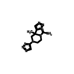 CC1(c2cnns2)CN(c2cnns2)CCN1C(N)=O